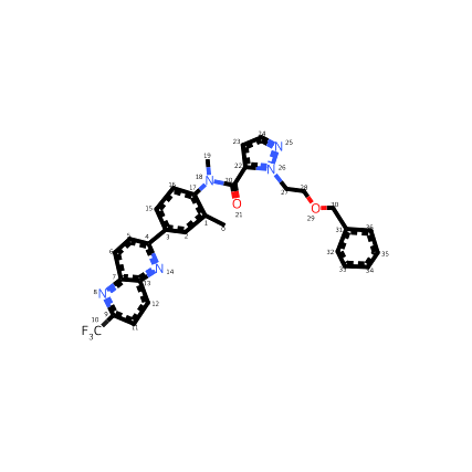 Cc1cc(-c2ccc3nc(C(F)(F)F)ccc3n2)ccc1N(C)C(=O)c1ccnn1CCOCc1ccccc1